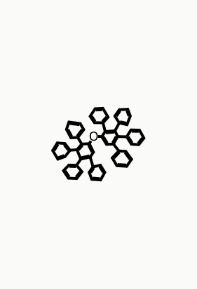 c1ccc(-c2cc(Oc3cc(-c4ccccc4)c(-c4ccccc4)c(-c4ccccc4)c3-c3ccccc3)c(-c3ccccc3)c(-c3ccccc3)c2-c2ccccc2)cc1